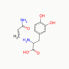 C=CC(N)=O.NC(Cc1ccc(O)c(O)c1)C(=O)O